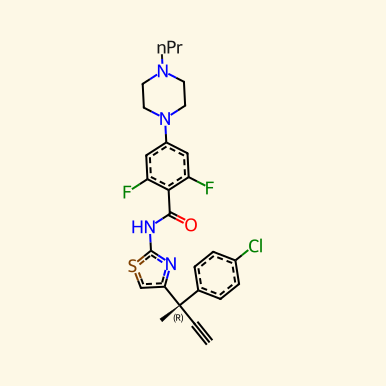 C#C[C@@](C)(c1ccc(Cl)cc1)c1csc(NC(=O)c2c(F)cc(N3CCN(CCC)CC3)cc2F)n1